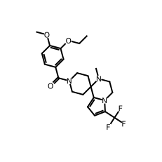 CCOc1cc(C(=O)N2CCC3(CC2)c2ccc(C(F)(F)F)n2CCN3C)ccc1OC